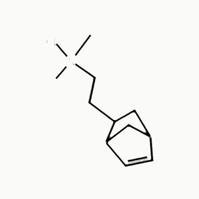 CS(C)(Cl)CCC1CC2C=CC1C2